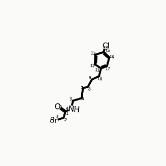 O=C(CBr)NCCCCCCc1ccc(Cl)cc1